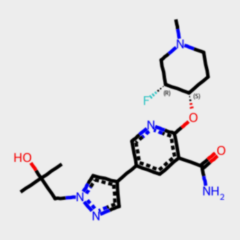 CN1CC[C@H](Oc2ncc(-c3cnn(CC(C)(C)O)c3)cc2C(N)=O)[C@H](F)C1